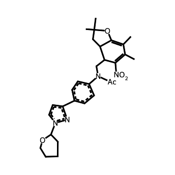 CC(=O)N(CC1C([N+](=O)[O-])=C(C)C(C)=C2OC(C)(C)CC21)c1ccc(-c2ccn(C3CCCCO3)n2)cc1